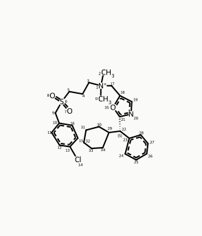 C[N+](C)(CCCS(=O)(=O)Cc1ccc(Cl)cc1)Cc1cnc([C@H](c2ccccc2)C2CCCCC2)o1